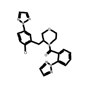 O=C(c1ccccc1-n1nccn1)N1CCOCC1Cc1cc(-n2nccn2)ccc1Cl